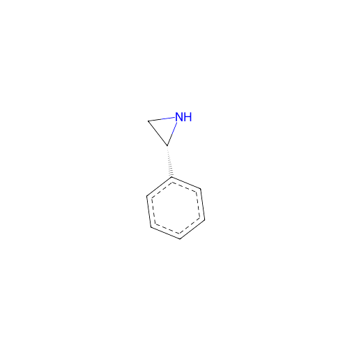 c1ccc([C@@H]2CN2)cc1